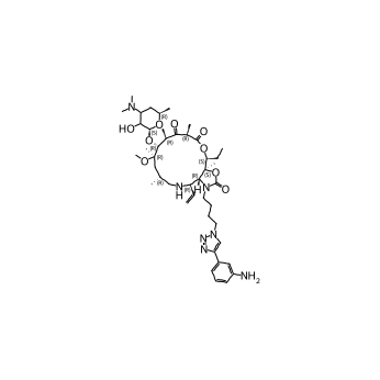 C=C[C@H]1NC[C@H](C)C[C@@](C)(OC)[C@H](O[C@@H]2O[C@H](C)CC(N(C)C)C2O)[C@@H](C)C(=O)[C@@H](C)C(=O)O[C@@H](CC)[C@@]2(C)OC(=O)N(CCCCn3cc(-c4cccc(N)c4)nn3)[C@H]12